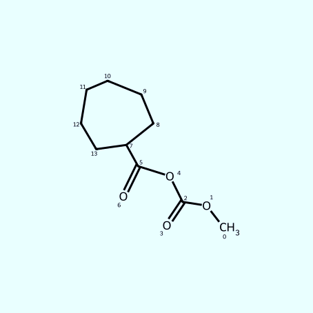 COC(=O)OC(=O)C1CCCCCC1